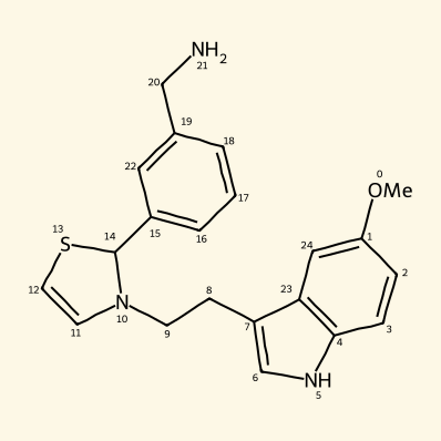 COc1ccc2[nH]cc(CCN3C=CSC3c3cccc(CN)c3)c2c1